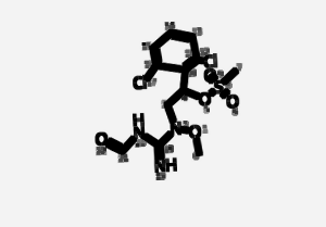 CON(CC(OS(C)(=O)=O)c1c(Cl)cccc1Cl)C(=N)NC=O